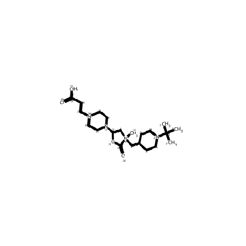 CC(C)(C)N1CCC(C[N+]2(C)CC(N3CCN(CCC(=O)O)CC3)OC2=O)CC1